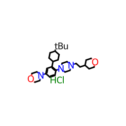 CC(C)(C)C1CCC(c2cc(N3CCOCC3)ccc2N2CCN(CCC3CCOCC3)CC2)CC1.Cl